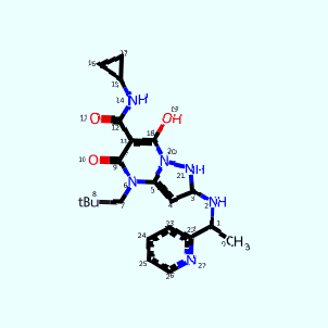 CC(NC1C=C2N(CC(C)(C)C)C(=O)C(C(=O)NC3CC3)=C(O)N2N1)c1ccccn1